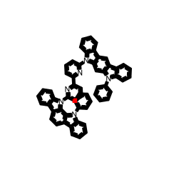 c1ccc(-n2c3ccccc3c3cc4c5ccccc5n(-c5cccc(-c6cccc(-n7c8ccccc8c8ccc9c%10ccccc%10n(-c%10ccccc%10)c9c87)n6)n5)c4cc32)cc1